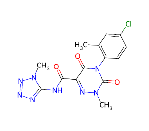 Cc1cc(Cl)ccc1-n1c(=O)c(C(=O)Nc2nnnn2C)nn(C)c1=O